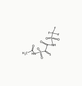 CC(=O)NS(=O)(=O)C(=S)C(=O)NS(=O)(=O)C(F)(F)F